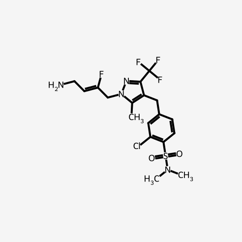 Cc1c(Cc2ccc(S(=O)(=O)N(C)C)c(Cl)c2)c(C(F)(F)F)nn1CC(F)=CCN